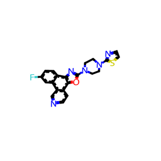 Fc1ccc2c(c1)c1cnccc1c1oc(N3CCN(c4nccs4)CC3)nc21